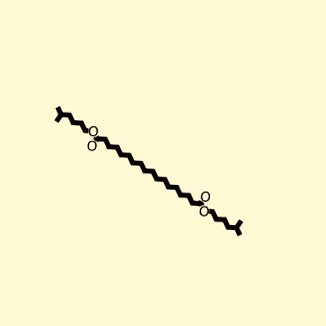 CC(C)CCCCOC(=O)CCCCCCCCCCCCCCCCC(=O)OCCCCC(C)C